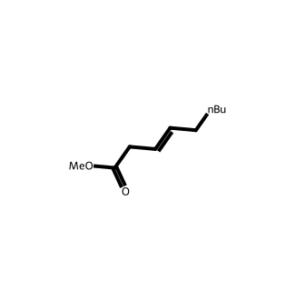 CCCCCC=CCC(=O)OC